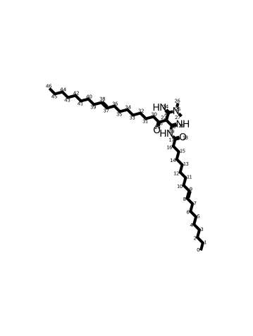 CCCCCCCC/C=C/CCCCCCCC(=O)NC(=N)C(C(=N)N(C)C)C(=O)CCCCCCC/C=C/CCCCCCCC